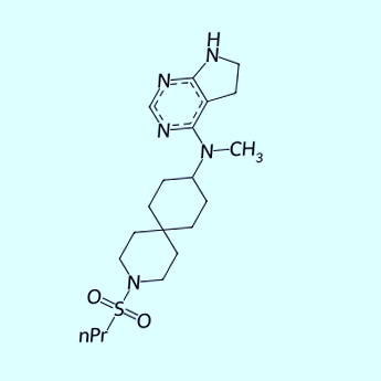 CCCS(=O)(=O)N1CCC2(CCC(N(C)c3ncnc4c3CCN4)CC2)CC1